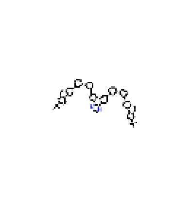 CC(C)(C)c1ccc2c(ccc3cc(-c4cccc(-c5cccc(-c6ccc7c(c6)c6cc(-c8cccc(-c9cccc(-c%10ccc%11c(ccc%12cc(C(C)(C)C)ccc%12%11)c%10)c9)c8)ccc6c6nccnc76)c5)c4)ccc32)c1